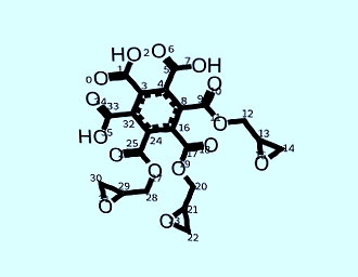 O=C(O)c1c(C(=O)O)c(C(=O)OCC2CO2)c(C(=O)OCC2CO2)c(C(=O)OCC2CO2)c1C(=O)O